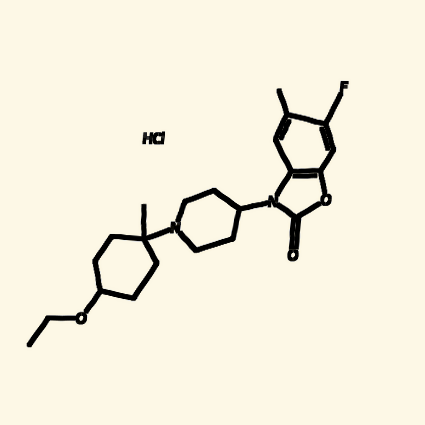 CCOC1CCC(C)(N2CCC(n3c(=O)oc4cc(F)c(C)cc43)CC2)CC1.Cl